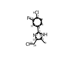 Cc1[nH]c(-c2ccc(Cl)c(F)c2)nc1CCl